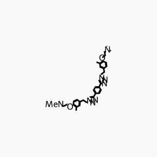 CNCCOc1ccc(CCn2cc(-c3ccc(-c4cn(CCc5ccc(OCCN(C)C)c(C)c5)nn4)cc3)nn2)cc1C